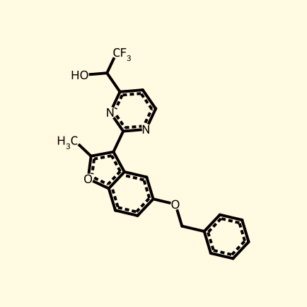 Cc1oc2ccc(OCc3ccccc3)cc2c1-c1nccc(C(O)C(F)(F)F)n1